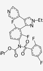 CCn1cc(-c2ccncc2)c(-c2c(F)ccc(N(C(=O)OC(C)C)S(=O)(=O)c3cc(F)ccc3F)c2F)n1